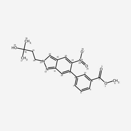 COC(=O)c1cccc(-c2cc3nn(CCC(C)(C)O)cc3cc2[N+](=O)[O-])c1